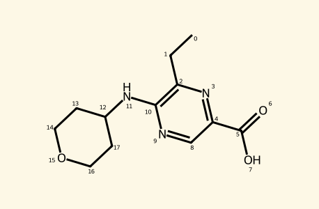 CCc1nc(C(=O)O)cnc1NC1CCOCC1